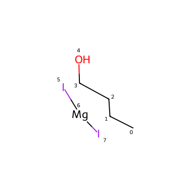 CCCCO.[I][Mg][I]